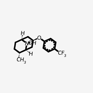 C[C@@H]1CC[C@H]2C[C@@H](Oc3ccc(C(F)(F)F)cc3)C[C@@H]1N2O